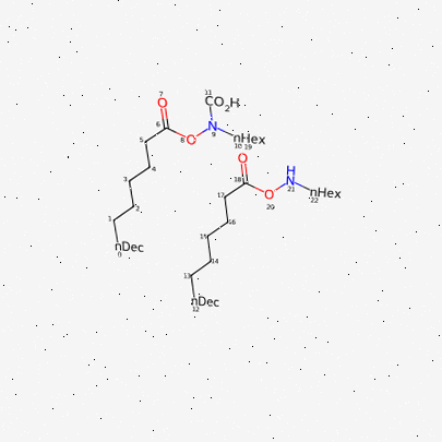 CCCCCCCCCCCCCCCC(=O)ON(CCCCCC)C(=O)O.CCCCCCCCCCCCCCCC(=O)ONCCCCCC